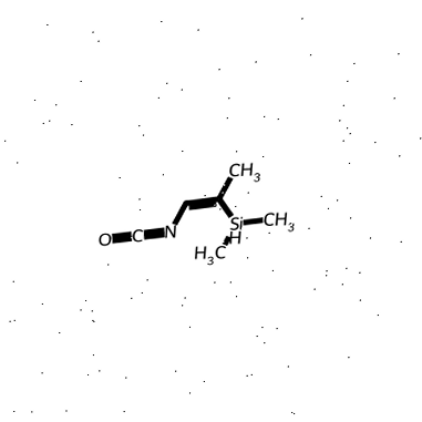 CC(=CN=C=O)[SiH](C)C